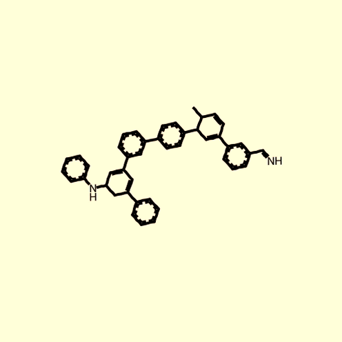 CC1C=CC(c2cccc(C=N)c2)=CC1c1ccc(-c2cccc(C3=CC(Nc4ccccc4)CC(c4ccccc4)=C3)c2)cc1